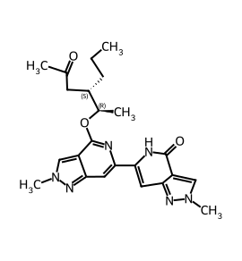 CCC[C@@H](CC(C)=O)[C@@H](C)Oc1nc(-c2cc3nn(C)cc3c(=O)[nH]2)cc2nn(C)cc12